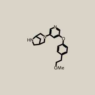 COCCc1ccc(Oc2cncc(N3CC4CNC(C4)C3)c2)cc1